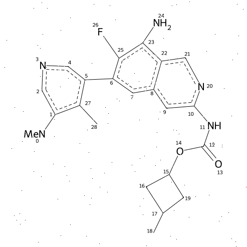 CNc1cncc(-c2cc3cc(NC(=O)OC4CC(C)C4)ncc3c(N)c2F)c1C